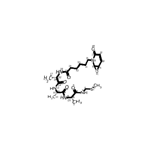 CSCNC(=O)[C@H](C)NC(=O)[C@H](C)NC(=O)[C@H](C)NC(=O)CCCCCN1C(=O)C=CC2OC21